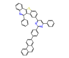 c1ccc(-c2cc(-c3ccc4sc5c6ccccc6nc(-c6ccccc6)c5c4c3)nc(-c3ccc(-c4ccc5c(ccc6ccccc65)c4)cc3)n2)cc1